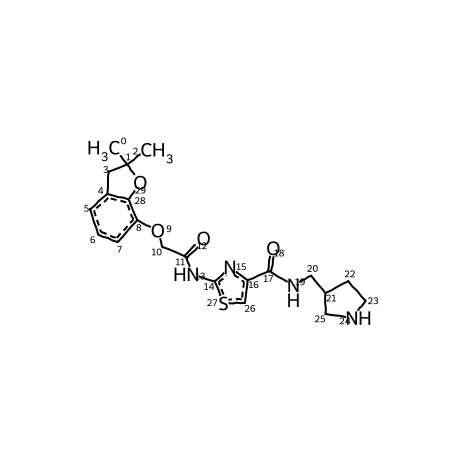 CC1(C)Cc2cccc(OCC(=O)Nc3nc(C(=O)NCC4CCNC4)cs3)c2O1